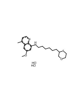 COc1cc(NCCCCCCC2COCCS2)c2nccc(C)c2c1.Cl.Cl